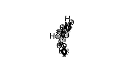 O=c1ccn([C@@H]2O[C@H](CO[PH](=O)Oc3ccccc3)[C@@H](O)[C@]2(F)I)c(=O)[nH]1